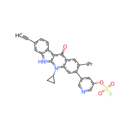 C#Cc1ccc2c(c1)[nH]c1c2c(=O)c2cc(C(C)C)c(-c3cncc(OS(=O)(=O)F)c3)cc2n1C1CC1